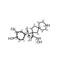 O=C(NO)C1(S(=O)(=O)c2ccc(O)c(Cl)c2)CCC2(CCNCC2)C1